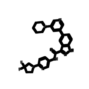 O=C(Nc1ccc(N2CCC(F)(F)C2)nc1)c1n[nH]c2ccc(-c3cncc(N4CCCCC4)c3)cc12